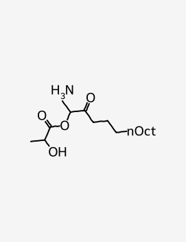 CCCCCCCCCCCC(=O)C(C)OC(=O)C(C)O.N